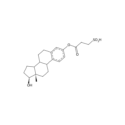 C[C@]12CCC3c4ccc(OC(=O)CCS(=O)(=O)O)cc4CCC3C1CC[C@@H]2O